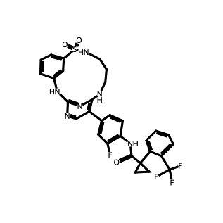 O=C(Nc1ccc(-c2cnc3nc2NCCCNS(=O)(=O)c2cccc(c2)N3)cc1F)C1(c2ccccc2C(F)(F)F)CC1